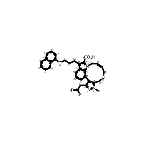 Cn1nc(CC(F)F)c2c1COC/C=C\Cn1c(C(=O)O)c(CCCOc3cccc4ccccc34)c3cccc-2c31